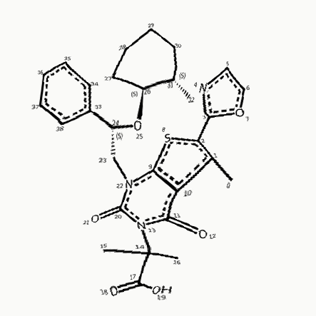 Cc1c(-c2ncco2)sc2c1c(=O)n(C(C)(C)C(=O)O)c(=O)n2C[C@@H](O[C@H]1CCCC[C@@H]1C)c1ccccc1